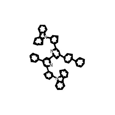 c1ccc(-c2ccc(-c3cc(-c4cccc(-n5c6ccccc6c6ccccc65)c4)nc(-c4cc(-c5ccccc5)cc(-c5cccc(-n6c7ccccc7c7ccccc76)c5)n4)c3)cc2)cc1